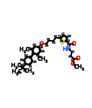 COC(=O)CCNC(=O)c1ccc(CCCCOc2cc(C)c(-c3ccc(C(C)(C)C)cc3)c(C)c2)s1